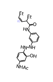 CC/C=C\C(CC)C(=O)Nc1cccc(NNc2ccc(NC(C)=O)cc2O)c1